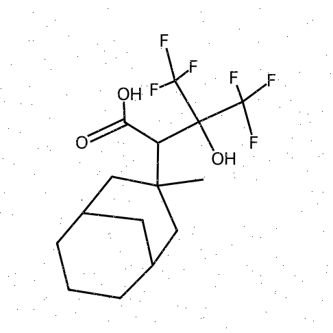 CC1(C(C(=O)O)C(O)(C(F)(F)F)C(F)(F)F)CC2CCCC(C2)C1